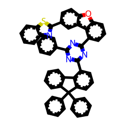 c1ccc(-c2nc(-c3cccc4c3-c3ccccc3C4(c3ccccc3)c3ccccc3)nc(-c3cccc4oc5ccc(-c6nc7ccccc7s6)cc5c34)n2)cc1